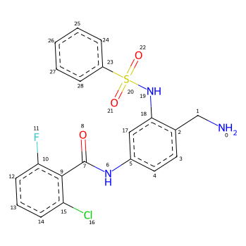 NCc1ccc(NC(=O)c2c(F)cccc2Cl)cc1NS(=O)(=O)c1ccccc1